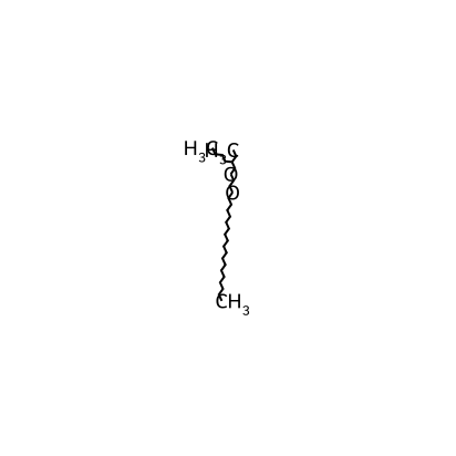 CCCCCCCCCCCCCCCCCCOCCOCC(CC)CCCC